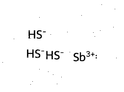 [SH-].[SH-].[SH-].[Sb+3]